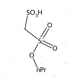 CCCOS(=O)(=O)CS(=O)(=O)O